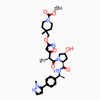 CC(C)[C@H](C(=O)N1C[C@H](O)C[C@H]1C(=O)N[C@@H](C)c1ccc(-c2ccnn2C)cc1)c1cc(OCC2(C)CCN(C(=O)OC(C)(C)C)CC2)no1